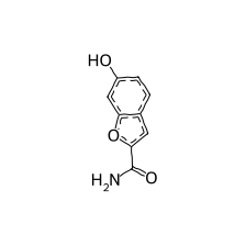 NC(=O)c1cc2ccc(O)cc2o1